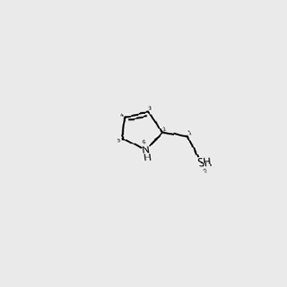 SCC1C=CCN1